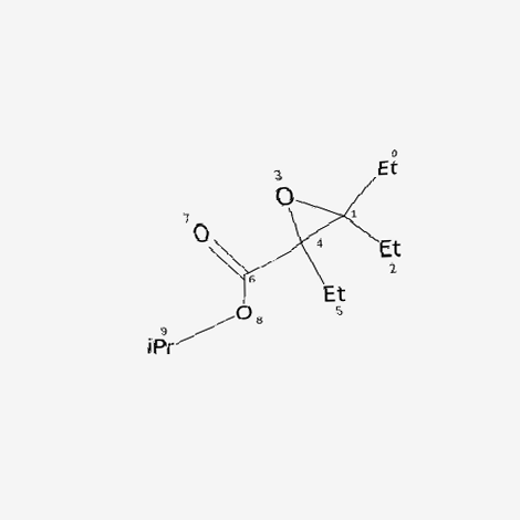 CCC1(CC)OC1(CC)C(=O)OC(C)C